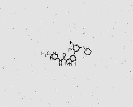 Cc1ncc(NC(=O)c2n[nH]c3ccc(-c4cc(CN5CCCCC5)cc(F)c4F)cc23)cn1